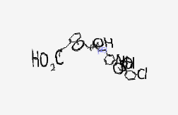 O=C(O)CCc1ccccc1OCC[C@@H](O)/C=C/c1cccc(NS(=O)(=O)c2cccc(Cl)c2)c1